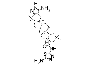 CC1(C)CC2C3=CCC4[C@@]5(C)Cc6c(n[nH]c6N)C(C)(C)C5CC[C@@]4(C)[C@]3(C)CC[C@@H]2[C@H](C(=O)Nc2nnc(N)s2)C1